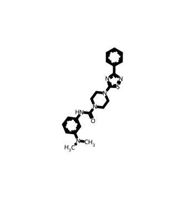 CN(C)c1cccc(NC(=O)N2CCN(c3nc(-c4ccccc4)ns3)CC2)c1